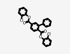 O=C(Oc1ccccc1Cl)c1ccc(C(=O)Oc2ccccc2Cl)c(-c2ccccc2)c1